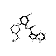 O=C(Nc1cc(Cl)ccc1N1CCCC(CO)C1)c1cnn2nccnc12